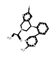 C=CC(=O)N1Cc2sc(I)cc2[C@@H](c2ccccc2-c2cnc(C)nc2)C1